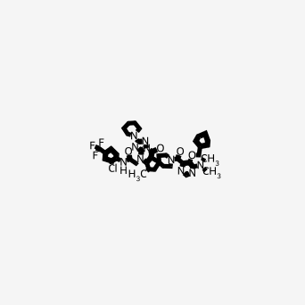 CC1CC2(CCN(C(=O)c3ncnc(N(C)C)c3OCc3ccccc3)CC2)c2c1n(CC(=O)Nc1ccc(C(F)(F)F)cc1Cl)c1nc(N3CCCCC3)nn1c2=O